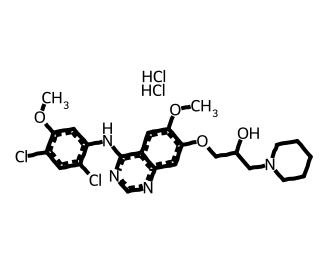 COc1cc(Nc2ncnc3cc(OCC(O)CN4CCCCC4)c(OC)cc23)c(Cl)cc1Cl.Cl.Cl